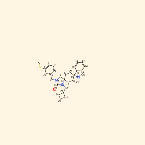 CSc1cccc(CN2CC3(CCC(c4ccccc4)(N(C)C)CC3)N(CC3CCC3)C2=O)c1